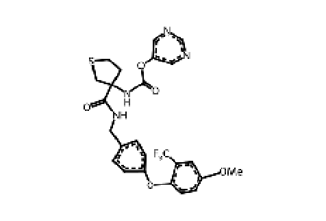 COc1ccc(Oc2ccc(CNC(=O)C3(NC(=O)Oc4cncnc4)CCSC3)cc2)c(C(F)(F)F)c1